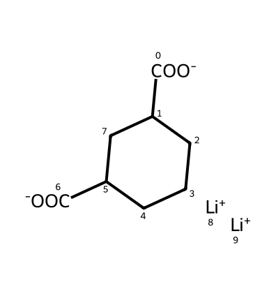 O=C([O-])C1CCCC(C(=O)[O-])C1.[Li+].[Li+]